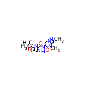 CCC1(C)OCc2cnc(C(=O)NC3CCn4nc(C)cc4N(C)C3=O)nc21